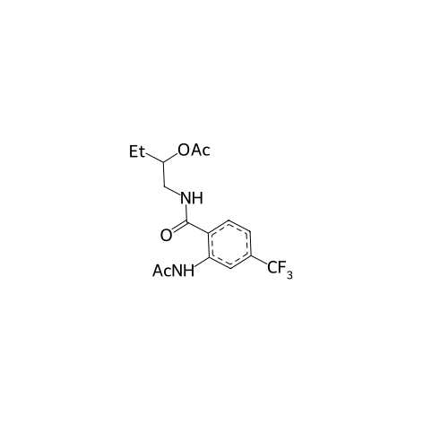 CCC(CNC(=O)c1ccc(C(F)(F)F)cc1NC(C)=O)OC(C)=O